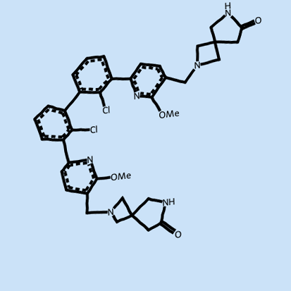 COc1nc(-c2cccc(-c3cccc(-c4ccc(CN5CC6(CNC(=O)C6)C5)c(OC)n4)c3Cl)c2Cl)ccc1CN1CC2(CNC(=O)C2)C1